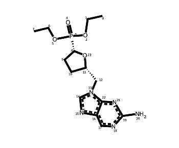 CCOP(=O)(OCC)[C@H]1CC[C@@H](Cn2cnc3cnc(N)nc32)O1